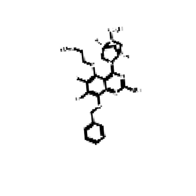 CCCCCCCCCCCCSc1c(I)c(Br)c(OCc2ccccc2)c2nc(C(C)(C)C)nc(N3C[C@@H]4C[C@H]3CN4C(=O)O)c12